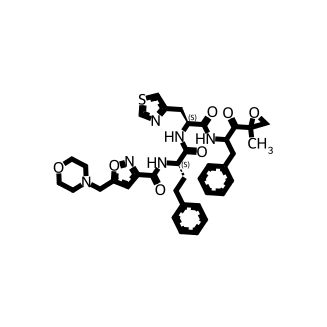 CC1(C(=O)C(Cc2ccccc2)NC(=O)[C@H](Cc2cscn2)NC(=O)[C@H](CCc2ccccc2)NC(=O)c2cc(CN3CCOCC3)on2)CO1